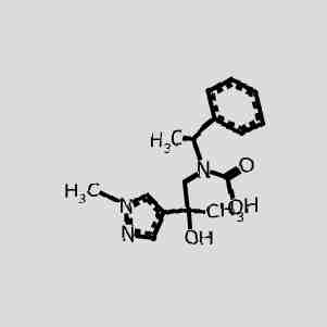 CC(c1ccccc1)N(CC(C)(O)c1cnn(C)c1)C(=O)O